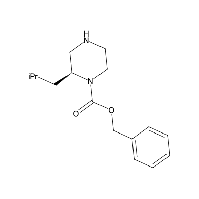 CC(C)C[C@H]1CNCCN1C(=O)OCc1ccccc1